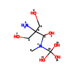 CN(C(O)C(N)(CO)CO)C(O)(O)O